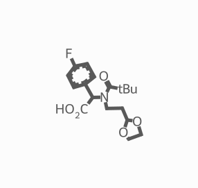 CC(C)(C)C(=O)N(CCC1OCCO1)C(C(=O)O)c1ccc(F)cc1